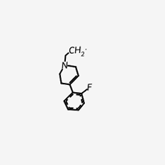 [CH2]CN1CC=C(c2ccccc2F)CC1